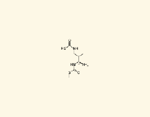 CSC(=O)N[C@H](N)C(C)CNC(=O)S